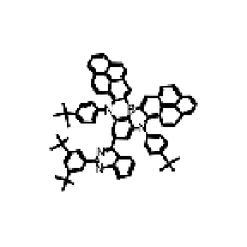 CC(C)(C)c1ccc(N2c3cc(-c4nc(-c5cc(C(C)(C)C)cc(C(C)(C)C)c5)nc5ccccc45)cc4c3B(c3cc5ccc6cccc7ccc(c32)c5c67)c2cc3ccc5cccc6ccc(c2N4c2ccc(C(C)(C)C)cc2)c3c56)cc1